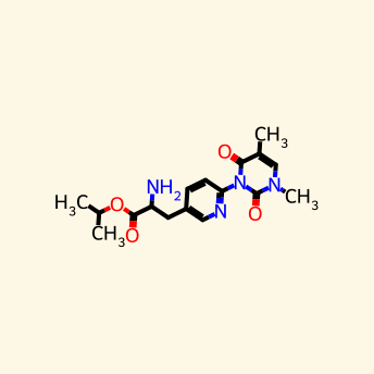 Cc1cn(C)c(=O)n(-c2ccc(CC(N)C(=O)OC(C)C)cn2)c1=O